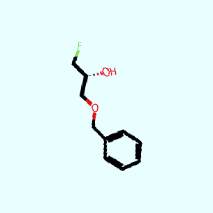 O[C@@H](CF)COCc1ccccc1